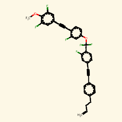 C=CCCc1ccc(C#Cc2ccc(C(F)(F)Oc3ccc(C#Cc4cc(F)c(OC(F)(F)F)c(F)c4)c(F)c3)c(F)c2)cc1